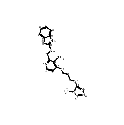 Cc1c(SCCCSc2nnnn2C)ccnc1CSc1nc2ccccc2[nH]1